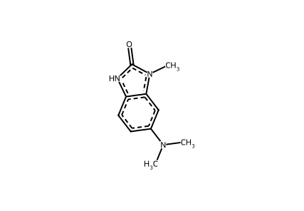 CN(C)c1ccc2[nH]c(=O)n(C)c2c1